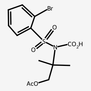 CC(=O)OCC(C)(C)N(C(=O)O)S(=O)(=O)c1ccccc1Br